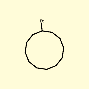 CCC1CCCCCCCCCCC1